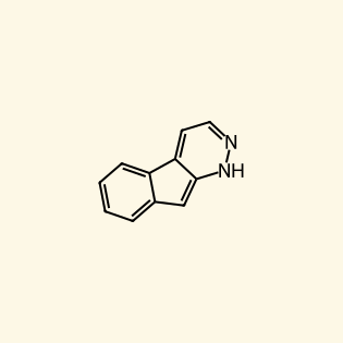 c1ccc2c3ccn[nH]c-3cc2c1